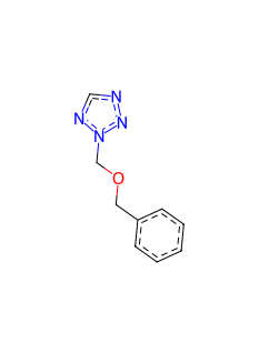 c1ccc(COCn2ncnn2)cc1